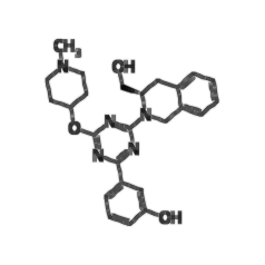 CN1CCC(Oc2nc(-c3cccc(O)c3)nc(N3Cc4ccccc4C[C@@H]3CO)n2)CC1